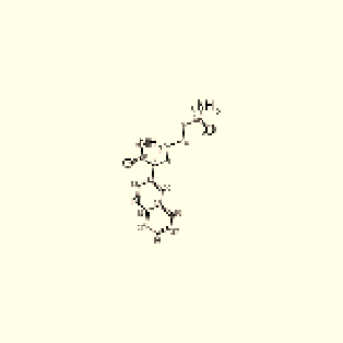 NC(=O)CCCCC(C(N)=O)c1cnc2ccccc2c1